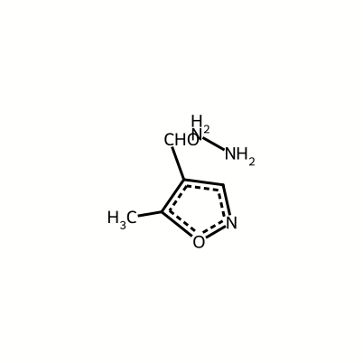 Cc1oncc1C=O.NN